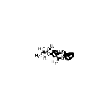 CCC(C)(C)C(=O)OC1CC2(C(C)C)CCC1(C)CC2C(=O)OC1(CC)C2CC3CC(C2)CC1C3